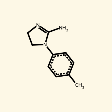 Cc1ccc(N2CCN=C2N)cc1